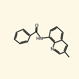 Cc1cnc2c(NC(=O)c3ccccc3)cccc2c1